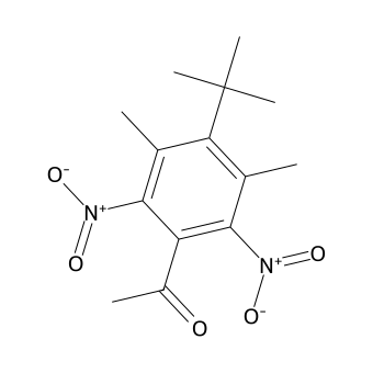 CC(=O)c1c([N+](=O)[O-])c(C)c(C(C)(C)C)c(C)c1[N+](=O)[O-]